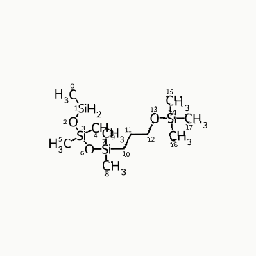 C[SiH2]O[Si](C)(C)O[Si](C)(C)CCCO[Si](C)(C)C